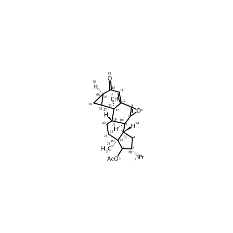 CC(=O)OC1[C@@H](C(C)C)C[C@H]2[C@@H]3C4=C(O4)C4=CC(=O)[C@@H]5CC5[C@]4(C)[C@H]3CC[C@]12C